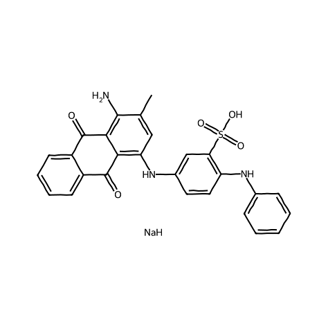 Cc1cc(Nc2ccc(Nc3ccccc3)c(S(=O)(=O)O)c2)c2c(c1N)C(=O)c1ccccc1C2=O.[NaH]